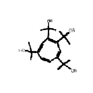 CC(C)(O)C1=CC(C(C)(C)O)=C(C(C)(C)O)C=C(C(C)(C)O)C=C1